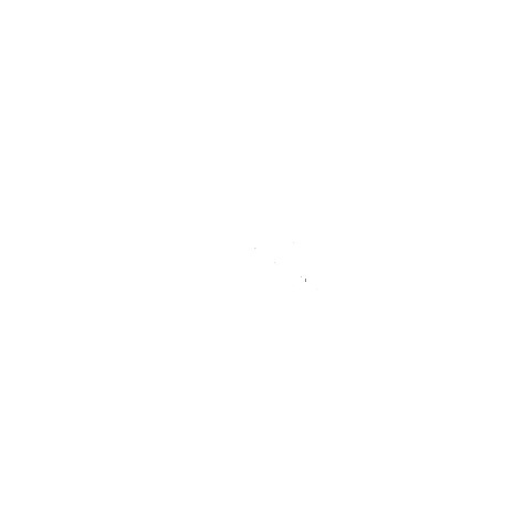 C#CC(C)(C)S([CH2])(=O)=O